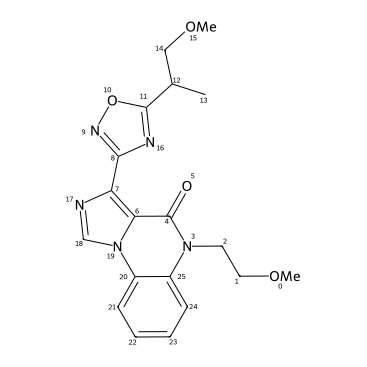 COCCn1c(=O)c2c(-c3noc(C(C)COC)n3)ncn2c2ccccc21